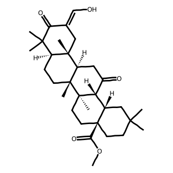 COC(=O)[C@]12CCC(C)(C)C[C@H]1[C@H]1C(=O)C[C@@H]3[C@@]4(C)CC(=CO)C(=O)C(C)(C)[C@@H]4CC[C@@]3(C)[C@]1(C)CC2